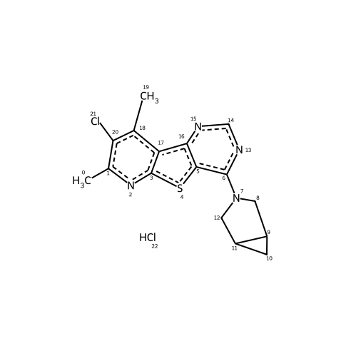 Cc1nc2sc3c(N4CC5CC5C4)ncnc3c2c(C)c1Cl.Cl